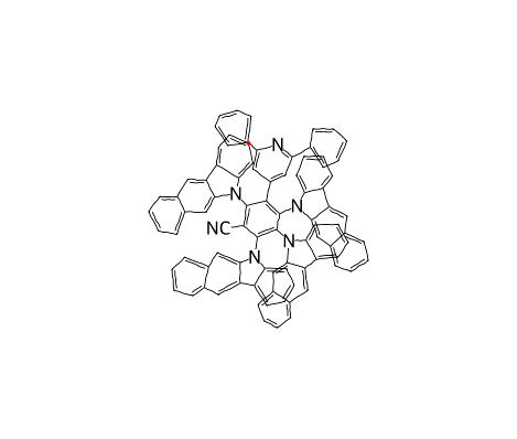 N#Cc1c(-n2c3ccccc3c3cc4ccccc4cc32)c(-c2cc(-c3ccccc3)nc(-c3ccccc3)c2)c(-n2c3ccccc3c3cc4ccccc4cc32)c(-n2c3ccccc3c3cc4ccccc4cc32)c1-n1c2ccccc2c2cc3ccccc3cc21